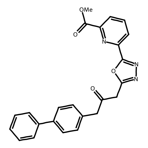 COC(=O)c1cccc(-c2nnc(CC(=O)Cc3ccc(-c4ccccc4)cc3)o2)n1